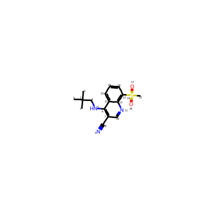 CC(C)(C)CNc1c(C#N)cnc2c(S(C)(=O)=O)cccc12